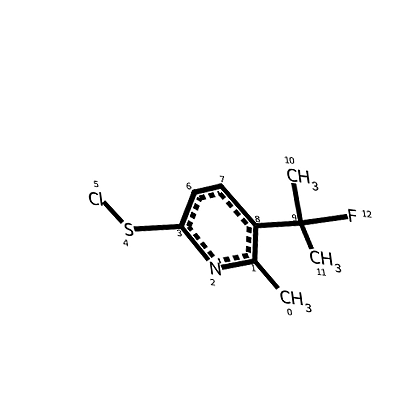 Cc1nc(SCl)ccc1C(C)(C)F